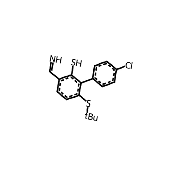 CC(C)(C)Sc1ccc(C=N)c(S)c1-c1ccc(Cl)cc1